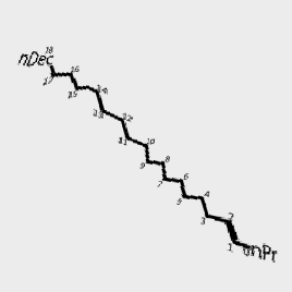 [CH2]CCC=CCCCCCCCCCCCCCCCCCCCCCCCC[CH2]